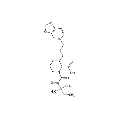 CCC(C)(C)C(=O)C(=O)N1CCCC(CCCc2ccc3c(c2)OCO3)C1C(=O)O